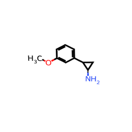 COc1cccc(C2C[C@H]2N)c1